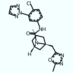 Cc1nnc(C[C@@]23C[C@@H](C)C[C@@H](C2)N3C(=O)Nc2ccc(Cl)c(-n3nccn3)c2)o1